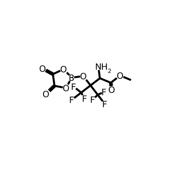 COC(=O)C(N)C(OB1OC(=O)C(=O)O1)(C(F)(F)F)C(F)(F)F